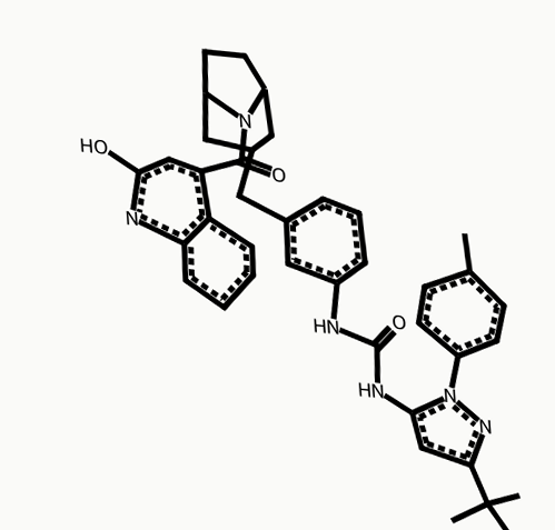 Cc1ccc(-n2nc(C(C)(C)C)cc2NC(=O)Nc2cccc(CC3CC4CCC(C3)N4C(=O)c3cc(O)nc4ccccc34)c2)cc1